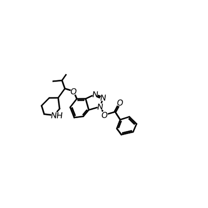 CC(C)C(Oc1cccc2c1nnn2OC(=O)c1ccccc1)C1CCCNC1